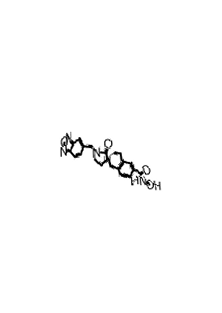 O=C(NO)c1ccc2c(c1)CC[C@@]1(CCN(Cc3ccc4nonc4c3)C1=O)C2